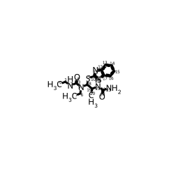 CCNC(=O)N(CC)C(Sc1nc2ccccc2s1)C(C)NC(N)=O